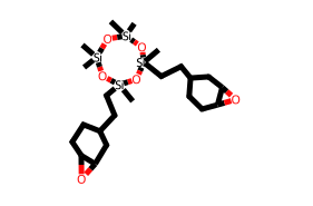 C[Si]1(C)O[Si](C)(C)O[Si](C)(CCC2CCC3OC3C2)O[Si](C)(CCC2CCC3OC3C2)O1